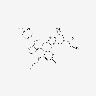 C=CC(=O)N1Cc2cc(-c3nc(-c4cnc(C)nc4)c4ccsc4c3-c3c(F)cc(F)cc3OCCO)nn2C(C)C1